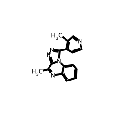 Cc1cnccc1-c1nnc2c(C)nc3ccccc3n12